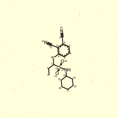 CCC(Sc1cccc(C#N)c1C#N)S(=O)(=O)NC1CCCCC1